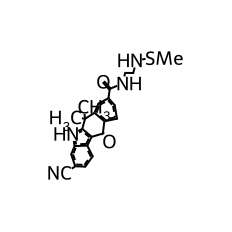 CSNCCNC(=O)c1ccc2c(c1)C(C)(C)c1[nH]c3cc(C#N)ccc3c1C2=O